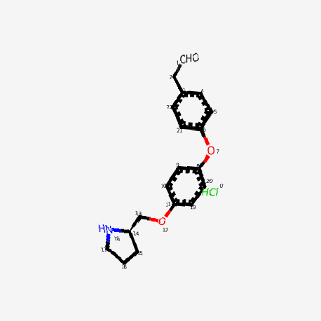 Cl.O=CCc1ccc(Oc2ccc(OC[C@H]3CCCN3)cc2)cc1